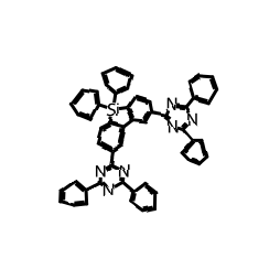 c1ccc(-c2nc(-c3ccccc3)nc(-c3ccc4c(c3)-c3cc(-c5nc(-c6ccccc6)nc(-c6ccccc6)n5)ccc3[Si]4(c3ccccc3)c3ccccc3)n2)cc1